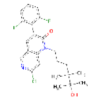 CC(C)(CCCn1c(=O)c(-c2c(F)cccc2F)cc2cnc(Cl)cc21)[Si](C)(C)O